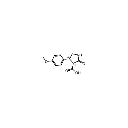 COc1ccc([C@@H]2CNC(=O)[C@H]2C(=O)O)cc1